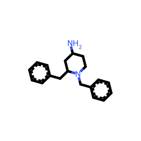 NC1CCN(Cc2ccccc2)C(Cc2ccccc2)C1